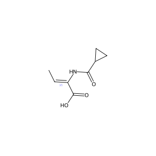 C/C=C(\NC(=O)C1CC1)C(=O)O